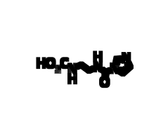 O=C(O)NCCNC(=O)n1ccnc1